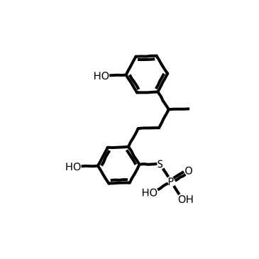 CC(CCc1cc(O)ccc1SP(=O)(O)O)c1cccc(O)c1